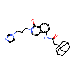 O=C(CC12CC3CC(CC(C3)C1)C2)Nc1cccc2c(=O)n(CCCn3ccnc3)ccc12